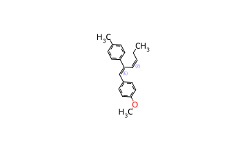 CC/C=C\C(=C/c1ccc(OC)cc1)c1ccc(C)cc1